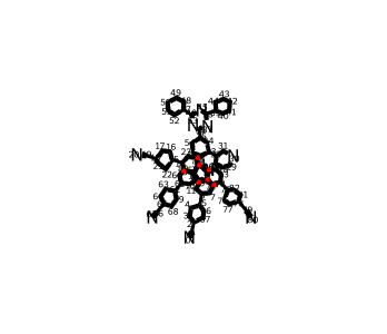 N#Cc1ccc(-c2ccc3c(c2)c2cc(-c4ccc(C#N)cc4)ccc2n3-c2ccncc2-c2cc(-c3nc(-c4ccccc4)nc(-c4ccccc4)n3)ccc2-n2c3ccc(-c4ccc(C#N)cc4)cc3c3cc(-c4ccc(C#N)cc4)ccc32)cc1